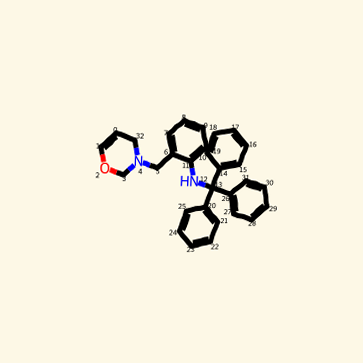 C1=COCN(Cc2ccccc2NC(c2ccccc2)(c2ccccc2)c2ccccc2)C1